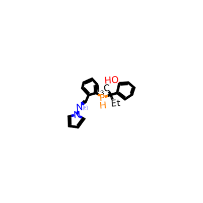 CCC(C)(Pc1ccccc1/C=N/n1cccc1)c1ccccc1O